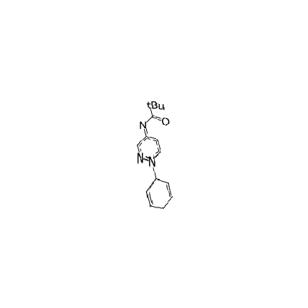 CC(C)(C)C(=O)N=c1ccn(C2C=CCC=C2)nc1